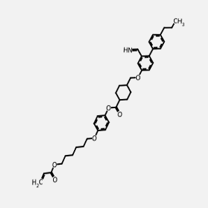 C=CC(=O)OCCCCCCOc1ccc(OC(=O)C2CCC(COc3ccc(-c4ccc(CCC)cc4)c(C=N)c3)CC2)cc1